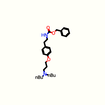 CCCCN(CCCC)CCCOc1ccc(CCNC(=O)OCc2ccccc2)cc1